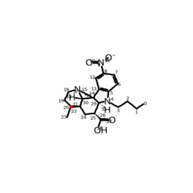 CCCCN1c2ccc([N+](=O)[O-])cc2[C@]23CCN4CCC[C@@](CC)(C[C@H](C(=O)O)[C@H]12)[C@H]43